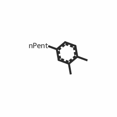 CCCCCc1ccc(C)c(C)c1